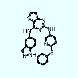 c1ccc(Sc2ccc(Nc3nc(Nc4ccc5[nH]ncc5c4)c4sccc4n3)cn2)cc1